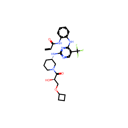 C=CC(=O)Nc1ccccc1Nc1nc(N[C@H]2CCCN(C(=O)[C@H](O)COC3CCC3)C2)ncc1C(F)(F)F